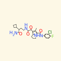 Cc1c(C(=O)C(=O)NCCC(C(N)=O)C2CCC2)c2n(c1C(=O)Nc1ccc(F)c(Cl)c1)CCC2